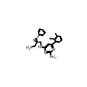 Cc1cccc(-c2cc(NCC3(CN)S[C@H]3c3ccccc3)nc(N)n2)c1C